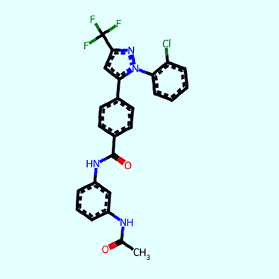 CC(=O)Nc1cccc(NC(=O)c2ccc(-c3cc(C(F)(F)F)nn3-c3ccccc3Cl)cc2)c1